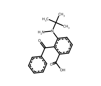 CC(C)(C)N(N)c1cccc(C(=O)O)c1C(=O)c1ccccc1